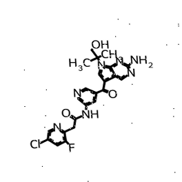 CC(C)(CO)n1cc(C(=O)c2cncc(NC(=O)Cc3ncc(Cl)cc3F)c2)c2cnc(N)nc21